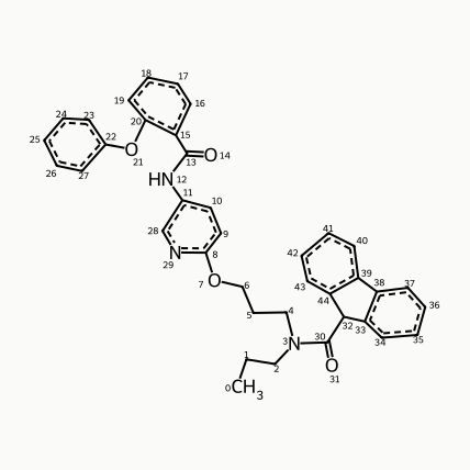 CCCN(CCCOc1ccc(NC(=O)c2ccccc2Oc2ccccc2)cn1)C(=O)C1c2ccccc2-c2ccccc21